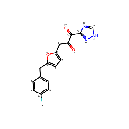 O=C(Cc1ccc(Cc2ccc(F)cc2)o1)C(=O)c1nc[nH]n1